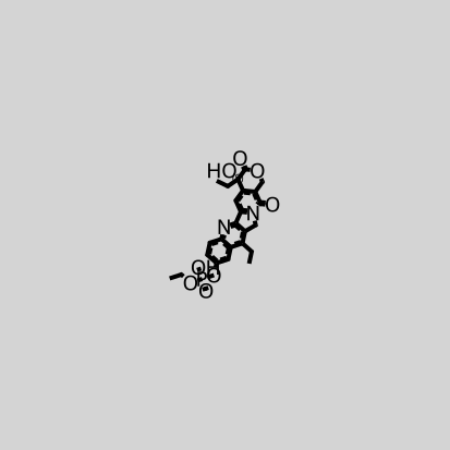 CCOP(=O)(O)Oc1ccc2nc3c(c(CC)c2c1)Cn1c-3cc2c(c1=O)COC(=O)[C@]2(O)CC